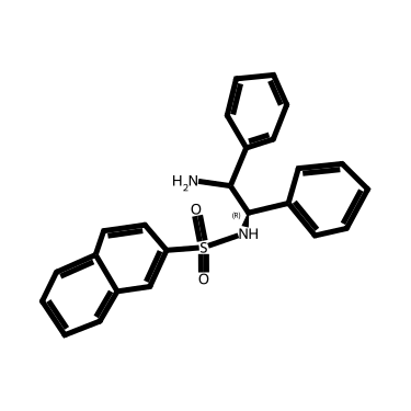 NC(c1ccccc1)[C@H](NS(=O)(=O)c1ccc2ccccc2c1)c1ccccc1